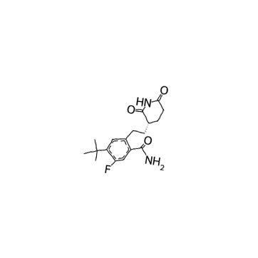 CC(C)(C)c1cc(CC[C@H]2CCC(=O)NC2=O)c(C(N)=O)cc1F